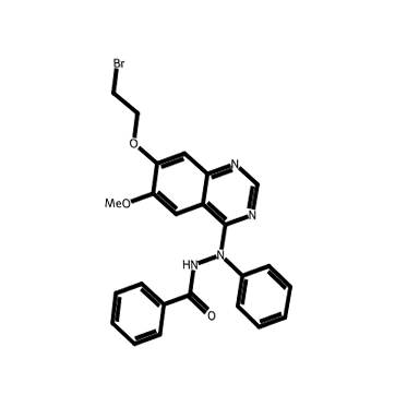 COc1cc2c(N(NC(=O)c3ccccc3)c3ccccc3)ncnc2cc1OCCBr